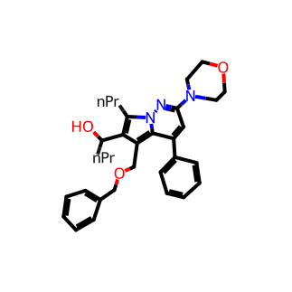 CCCc1c(C(O)CCC)c(COCc2ccccc2)c2c(-c3ccccc3)cc(N3CCOCC3)nn12